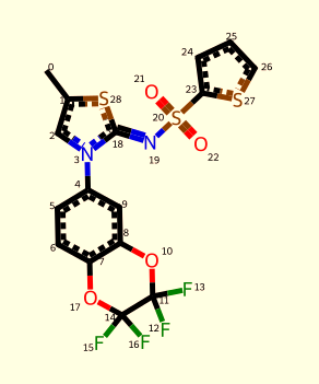 Cc1cn(-c2ccc3c(c2)OC(F)(F)C(F)(F)O3)/c(=N/S(=O)(=O)c2cccs2)s1